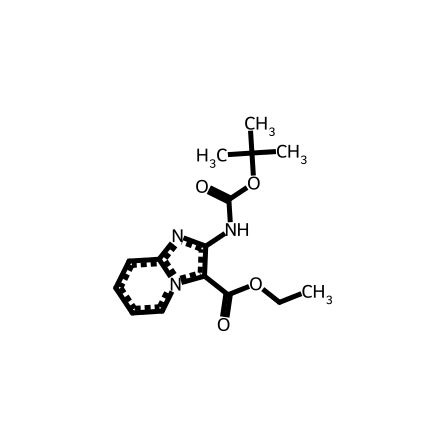 CCOC(=O)c1c(NC(=O)OC(C)(C)C)nc2ccccn12